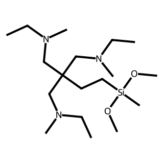 CCN(C)CC(CC[Si](C)(OC)OC)(CN(C)CC)CN(C)CC